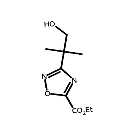 CCOC(=O)c1nc(C(C)(C)CO)no1